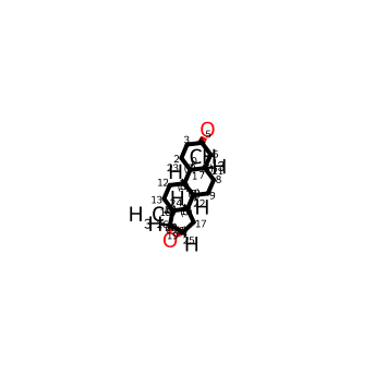 C[C@]12CCC(=O)C[C@@H]1CC[C@@H]1[C@@H]2CC[C@@]2(C)[C@H]1C[C@@H]1O[C@@H]12